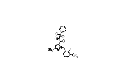 Cc1c(Cn2nc(C(C)(C)C)cc2C(=O)NS(=O)(=O)c2ccccc2)cccc1C(F)(F)F